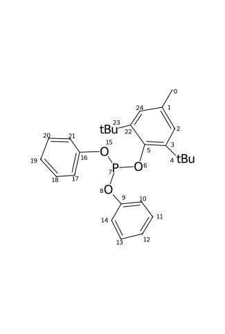 Cc1cc(C(C)(C)C)c(OP(Oc2ccccc2)Oc2ccccc2)c(C(C)(C)C)c1